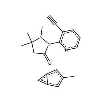 C#Cc1cccnc1N1C(=O)CC(C)(C)N1C.Cc1cc2cc-2c1